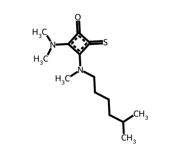 CC(C)CCCCN(C)c1c(N(C)C)c(=O)c1=S